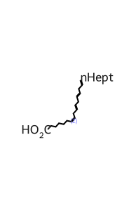 CCCCCCCC=CCC=CCC=CC/C=C\CCCCCC(=O)O